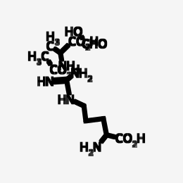 CC(=O)O.CC(N)C(=O)O.N=C(N)NCCCC(N)C(=O)O.O=CO